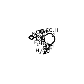 Cc1nc2ccccc2c2c1O[C@@]1(CC2)CN2C(=O)[C@@H](N(C(=O)O)C3CCCC3)CCCCC/C=C\[C@@H]3C[C@@]3(C(=O)NS(=O)(=O)C3(C)CC3)NC(=O)[C@@H]2C1C(F)(F)F